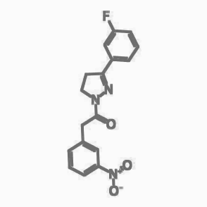 O=C(Cc1cccc([N+](=O)[O-])c1)N1CCC(c2cccc(F)c2)=N1